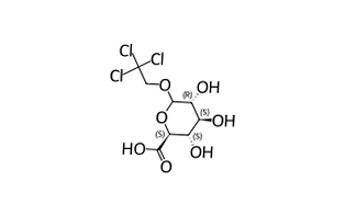 O=C(O)[C@H]1OC(OCC(Cl)(Cl)Cl)[C@H](O)[C@@H](O)[C@@H]1O